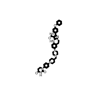 NC(=O)c1c(-c2ccc(Oc3ccccc3)cc2)nn2c1Nc1ccc(N3CCN(CC4CCN(c5ccc(N6CCC(=O)NC6=O)cc5)CC4)CC3)cc1CC2